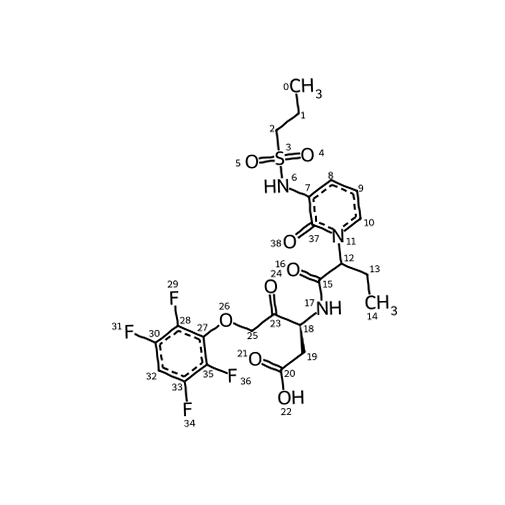 CCCS(=O)(=O)Nc1cccn(C(CC)C(=O)N[C@@H](CC(=O)O)C(=O)COc2c(F)c(F)cc(F)c2F)c1=O